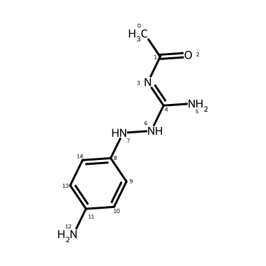 CC(=O)N=C(N)NNc1ccc(N)cc1